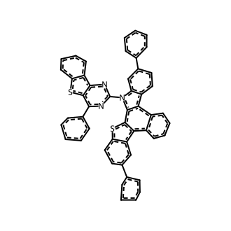 c1ccc(-c2ccc3sc4c(c3c2)c2ccccc2c2c3ccc(-c5ccccc5)cc3n(-c3nc(-c5ccccc5)c5sc6ccccc6c5n3)c42)cc1